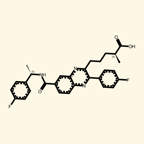 C[C@H](NC(=O)c1ccc2nc(-c3ccc(F)cc3)c(CCC[C@H](C)C(=O)O)nc2c1)c1ccc(F)cc1